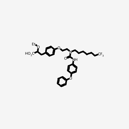 CCOC(Cc1ccc(OCCN(CCCCCCC(F)(F)F)C(=O)Nc2ccc(Oc3ccccc3)cc2)cc1)C(=O)O